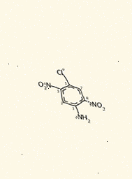 Nc1cc([N+](=O)[O-])c(Cl)cc1[N+](=O)[O-]